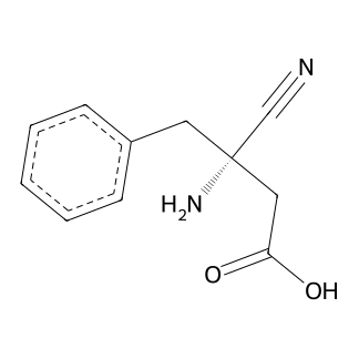 N#C[C@@](N)(CC(=O)O)Cc1ccccc1